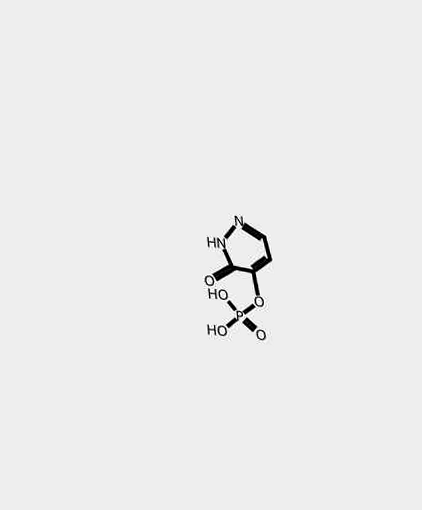 O=c1[nH]nccc1OP(=O)(O)O